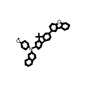 COc1ccc(N(c2ccc3c(c2)C(C)(C)c2cc(-c4ccc5oc6ccccc6c5c4)ccc2-3)c2ccc3ccccc3c2)cc1